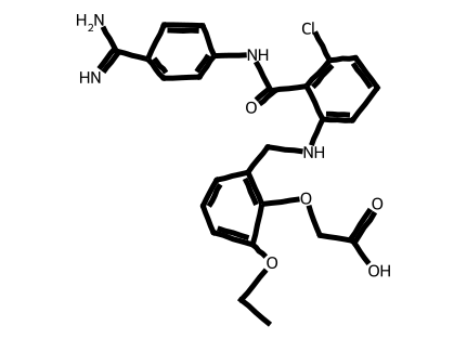 CCOc1cccc(CNc2cccc(Cl)c2C(=O)Nc2ccc(C(=N)N)cc2)c1OCC(=O)O